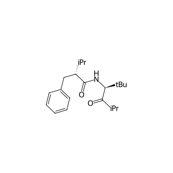 CC(C)C(=O)[C@@H](NC(=O)[C@H](Cc1ccccc1)C(C)C)C(C)(C)C